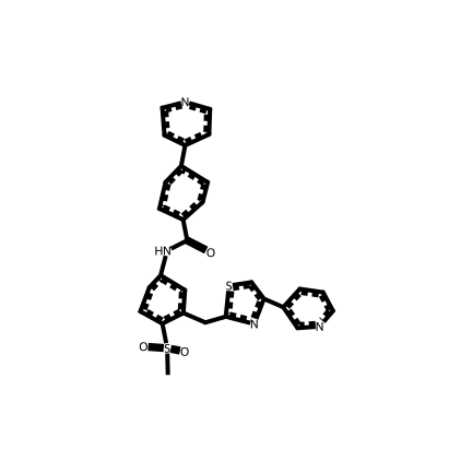 CS(=O)(=O)c1ccc(NC(=O)c2ccc(-c3ccncc3)cc2)cc1Cc1nc(-c2cccnc2)cs1